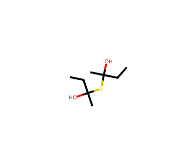 CCC(C)(O)SC(C)(O)CC